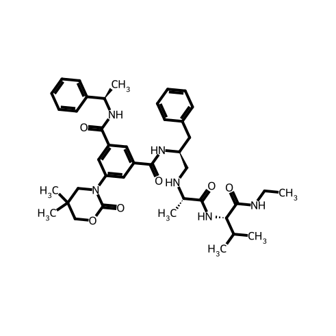 CCNC(=O)[C@@H](NC(=O)[C@H](C)NC[C@H](Cc1ccccc1)NC(=O)c1cc(C(=O)N[C@H](C)c2ccccc2)cc(N2CC(C)(C)COC2=O)c1)C(C)C